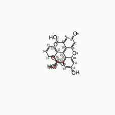 O=C(O)c1cc(=O)cc2oc3cc(O)cc(C(=O)O)c3c(C3=CC=CCC3C(=O)O)c1-2